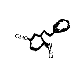 O=CC1=CC(C=Cc2ccccc2)C(=NCl)C=C1